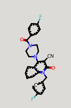 N#Cc1c(N2CCN(C(=O)c3ccc(F)cc3)CC2)c2ccccc2n(Cc2ccc(F)cc2)c1=O